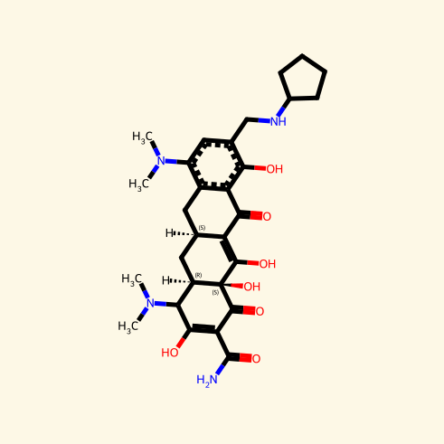 CN(C)c1cc(CNC2CCCC2)c(O)c2c1C[C@@H]1C[C@@H]3C(N(C)C)C(O)=C(C(N)=O)C(=O)[C@@]3(O)C(O)=C1C2=O